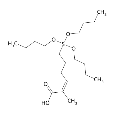 CCCCO[Si]([CH]CCC=C(C)C(=O)O)(OCCCC)OCCCC